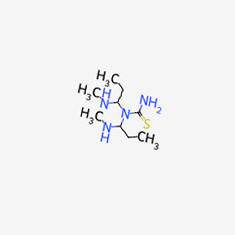 CCC(NC)N(C(N)=S)C(CC)NC